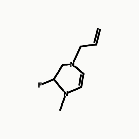 C=CCN1C=CN(C)C(F)C1